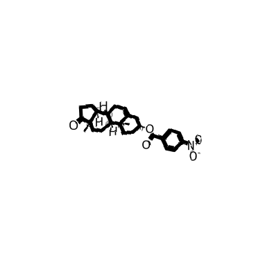 C[C@]12CC[C@@H](OC(=O)c3ccc([N+](=O)[O-])cc3)CC1=CC[C@@H]1[C@@H]2CC[C@]2(C)C(=O)CC[C@@H]12